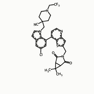 CC1(C)C2C(=O)N(Cc3cc4nccc(-c5cc(Cl)cc6ccn(CC7(C#N)CCN(CC(F)(F)F)CC7)c56)c4s3)C(=O)C21